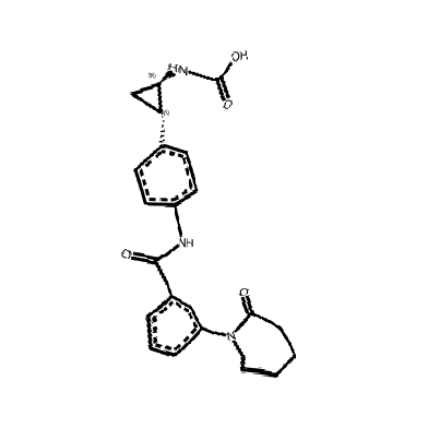 O=C(O)N[C@@H]1C[C@H]1c1ccc(NC(=O)c2cccc(N3CCCCC3=O)c2)cc1